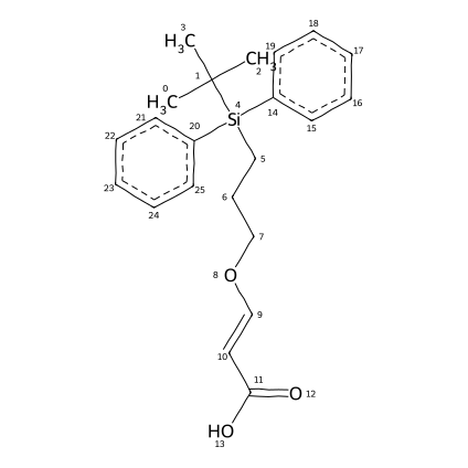 CC(C)(C)[Si](CCCO/C=C/C(=O)O)(c1ccccc1)c1ccccc1